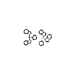 C[Si](c1ccccc1)(C1C=Cc2ccccc21)C1C=Cc2ccccc21.[SiH3]C(c1ccccc1)(C1C=Cc2ccccc21)C1C=Cc2ccccc21